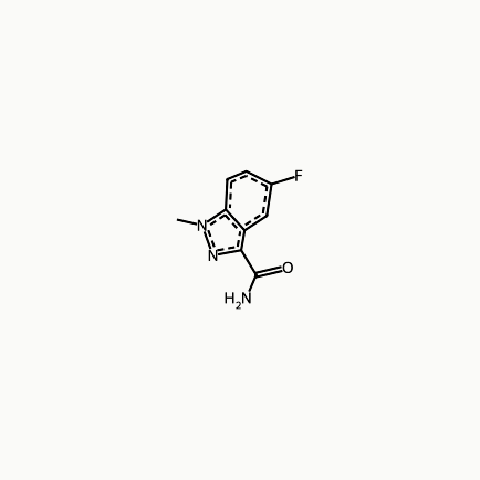 Cn1nc(C(N)=O)c2cc(F)ccc21